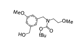 COCCN(Cc1cc(CO)cc(OC)c1)C(=O)OC(C)(C)C